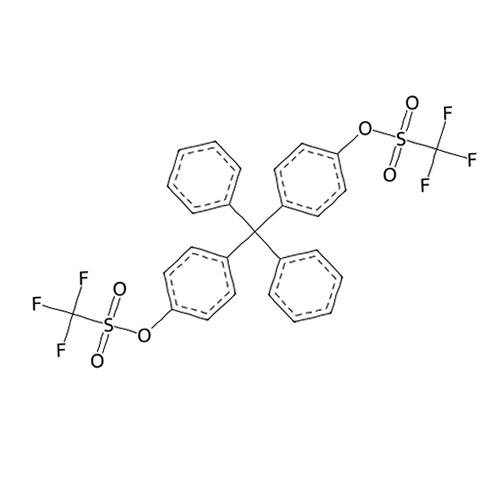 O=S(=O)(Oc1ccc(C(c2ccccc2)(c2ccccc2)c2ccc(OS(=O)(=O)C(F)(F)F)cc2)cc1)C(F)(F)F